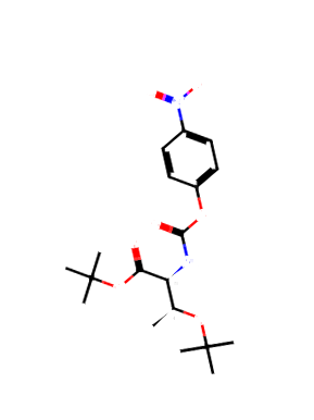 C[C@H](OC(C)(C)C)[C@H](NC(=O)Oc1ccc([N+](=O)[O-])cc1)C(=O)OC(C)(C)C